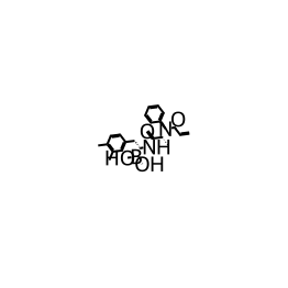 C=CC(=O)N(c1ccccc1)[C@H](C)C(=O)N[C@@H](Cc1ccc(C)c(C)c1)B(O)O